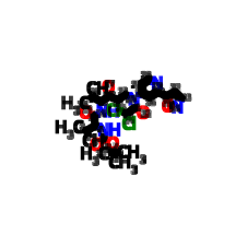 CC(C)C(NC(=O)OC(C)(C)C)C(=O)N[C@H](C(=O)CCN(C(=O)C(Cl)Cl)c1ccnc(-c2ccno2)c1)C(C)C